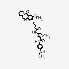 CCNc1ccc(NC(=O)c2cc(NC(=O)CCCOc3cc4c(cc3OC)C(=O)N3CCCCC3C=N4)cn2C)cc1